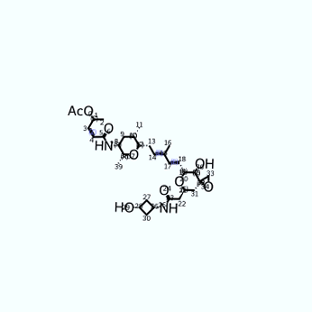 CC(=O)O[C@@H](C)/C=C\C(=O)N[C@@H]1C[C@H](C)[C@H](C/C=C(C)/C=C/[C@H]2O[C@H](CC(=O)N[C@H]3C[C@@H](O)C3)C[C@@]3(CO3)[C@@H]2O)O[C@@H]1C